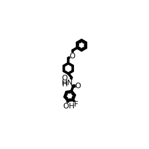 O=C(NCC1(O)CCC(COCc2ccccc2)CC1)c1ccc(O)c(F)c1